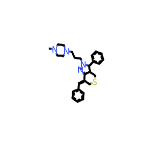 CN1CCN(CCCN2N=C3C(=Cc4ccccc4)CSCC3C2c2ccccc2)CC1